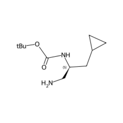 CC(C)(C)OC(=O)N[C@H](CN)CC1CC1